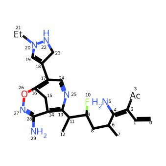 C=C/C(C(C)=O)=C(/N)C(C)CC(F)C(C)C1=C2CC(=C(C3=CN(CC)NC3)C=N1)ON=C2N